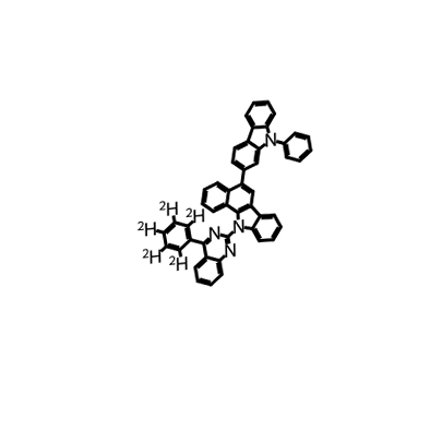 [2H]c1c([2H])c([2H])c(-c2nc(-n3c4ccccc4c4cc(-c5ccc6c7ccccc7n(-c7ccccc7)c6c5)c5ccccc5c43)nc3ccccc23)c([2H])c1[2H]